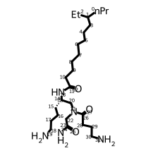 CCCC(CC)CCCCCCCCC(=O)N[C@@H](CCCCN)CN(CC(N)=O)C(=O)CCCN